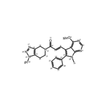 COc1ncnc2c1c(/C=C/C(=O)N1CCc3c(nnn3C(C)C)C1)c(-c1ccccc1)n2C